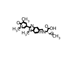 COC[C@H](NCc1ccc2c(c1)nc(-c1cc(C)c(=O)n(C)c1)n2C)C(=O)O